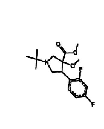 COC(=O)C1(OC)CN(C(C)(C)C)CC1c1ccc(F)cc1F